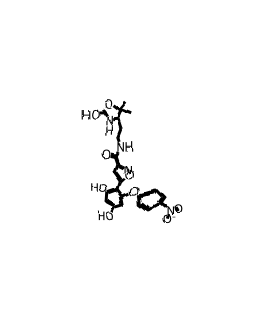 CC(C)(C)C(CCNC(=O)c1cc(-c2c(O)cc(O)cc2Oc2ccc([N+](=O)[O-])cc2)on1)NC(=O)O